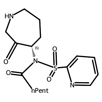 [CH2]CCCCC(=O)N([C@H]1CCCNCC1=O)S(=O)(=O)c1ccccn1